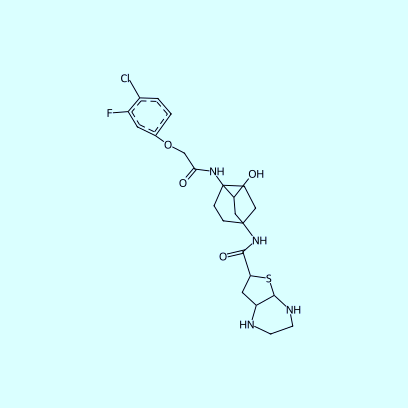 O=C(COc1ccc(Cl)c(F)c1)NC12CCC(NC(=O)C3CC4NCCNC4S3)(CC1)CC2O